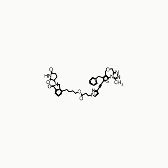 Cc1nnc2n1-c1sc(C#Cc3ccn(CCC(=O)OCCCCc4cccc5c4CN(C4CCC(=O)NC4=O)C5=O)n3)c(Cc3ccccc3)c1COC2